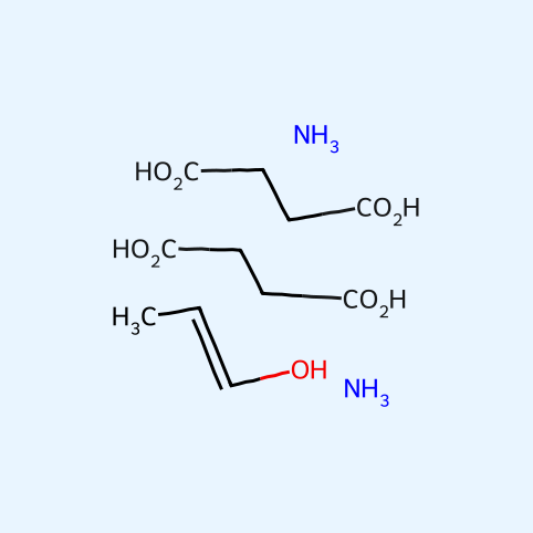 C/C=C/O.N.N.O=C(O)CCC(=O)O.O=C(O)CCC(=O)O